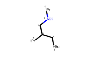 CC(C)NCC(CC(C)(C)C)C(C)C